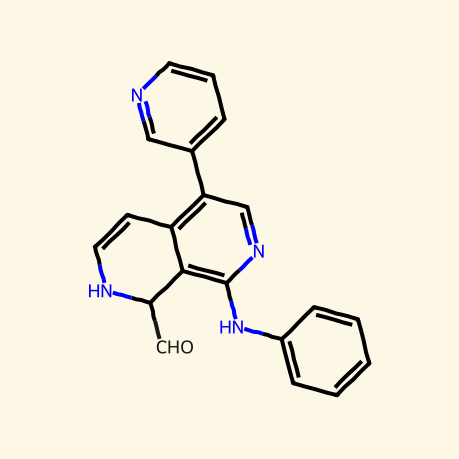 O=CC1NC=Cc2c(-c3cccnc3)cnc(Nc3ccccc3)c21